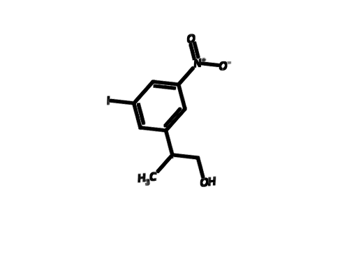 C[C](CO)c1cc(I)cc([N+](=O)[O-])c1